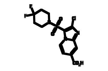 O=C(O)c1ccn2c(S(=O)(=O)N3CCC(F)(F)CC3)c(Cl)nc2c1